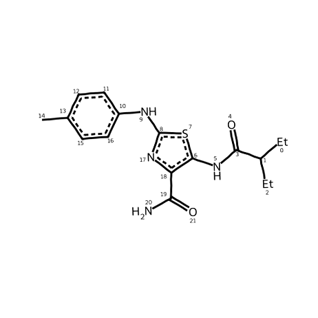 CCC(CC)C(=O)Nc1sc(Nc2ccc(C)cc2)nc1C(N)=O